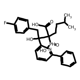 CC(C)CCC(C(=O)O)([PH](=O)O)C(O)(Cc1ccc(F)cc1)c1cccc(-c2ccccc2)n1